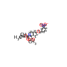 COC(=O)C1c2ccc(OCc3cccc([N+](=O)[O-])c3)cc2CCN1C(=O)OCC(C)C